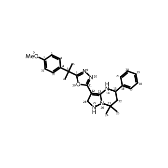 COc1ccc(C(C)(C)c2nnc(C3=C4NC(c5ccccc5)CC(C)(C)N4NC3)o2)cc1